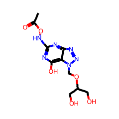 CC(=O)ONc1nc(O)c2c(nnn2COC(CO)CO)n1